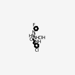 Cl.O=C(NNC=Nc1cccc(F)c1)c1cc2cc(Cl)ccc2[nH]1